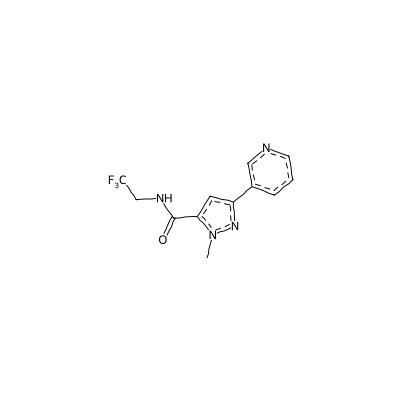 Cn1nc(-c2cccnc2)cc1C(=O)NCC(F)(F)F